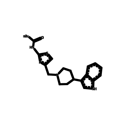 CCCCC(=O)Nc1nc(CN2CCC(c3c[nH]c4ccccc34)CC2)cs1